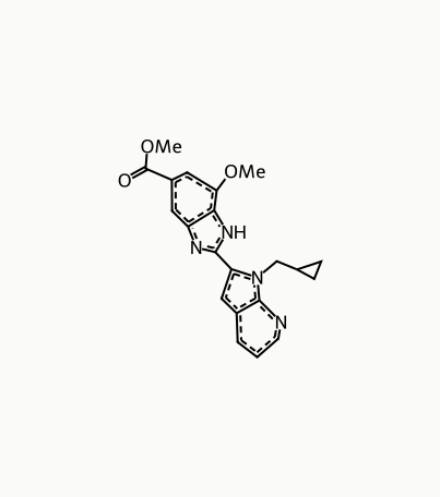 COC(=O)c1cc(OC)c2[nH]c(-c3cc4cccnc4n3CC3CC3)nc2c1